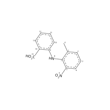 Cc1cccc([N+](=O)[O-])c1Nc1ccccc1C(=O)O